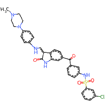 CN1CCN(c2ccc(NC=C3C(=O)Nc4cc(C(=O)c5cccc(NS(=O)(=O)c6cccc(Cl)c6)c5)ccc43)cc2)CC1